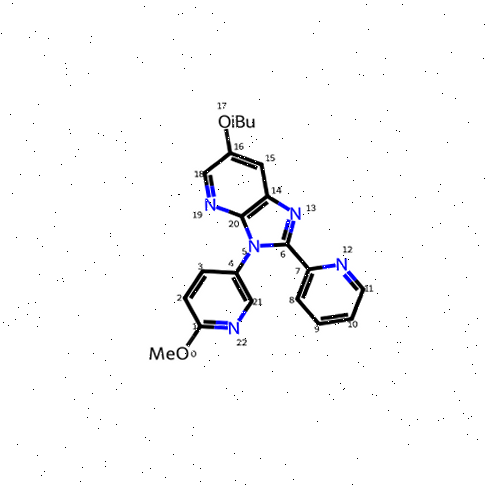 COc1ccc(-n2c(-c3ccccn3)nc3cc(OCC(C)C)cnc32)cn1